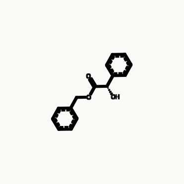 O=C(OCc1ccccc1)[C@@H](O)c1ccccc1